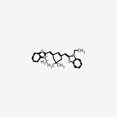 CCN1/C(=C/C2=CC(=C/c3sc4ccccc4[n+]3C)/CC(C)(C)C2)Sc2ccccc21